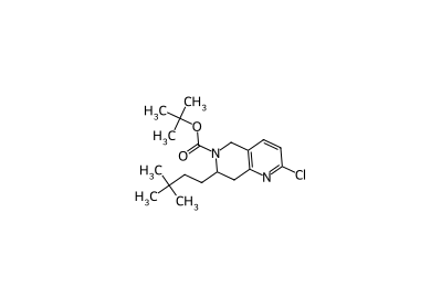 CC(C)(C)CCC1Cc2nc(Cl)ccc2CN1C(=O)OC(C)(C)C